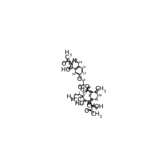 C=C[C@]1(C)C[C@@H](OC(=O)COc2ccc3c(c2)B(O)N(C(C)=O)N=C3)[C@@]2(C)C[C@](C[C@H](O)C(C)=O)(CC[C@H]2C)[C@@H](C)[C@@H]1O